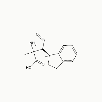 CC(N)(C(=O)O)C(C=O)[C@@H]1CCc2ccccc21